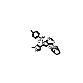 Cc1ccc(S(=O)(=O)n2c(-c3cnn(C)c3)cc3c(N4CC5CCC(C4)N5C=O)ncnc32)cc1